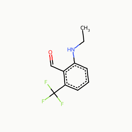 CCNc1cccc(C(F)(F)F)c1C=O